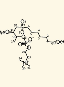 CCCCCCCCCCCCCCCCS(=O)(=O)CC(OC)C(C)OP(=O)([O-])OCC[N+](C)(C)C